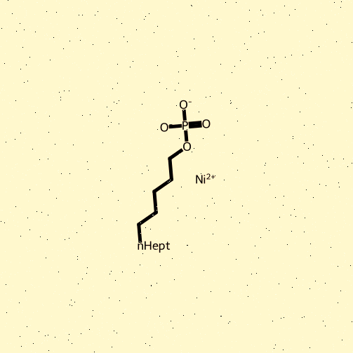 CCCCCCCCCCCCOP(=O)([O-])[O-].[Ni+2]